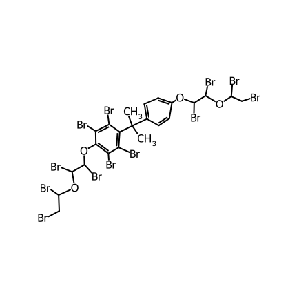 CC(C)(c1ccc(OC(Br)C(Br)OC(Br)CBr)cc1)c1c(Br)c(Br)c(OC(Br)C(Br)OC(Br)CBr)c(Br)c1Br